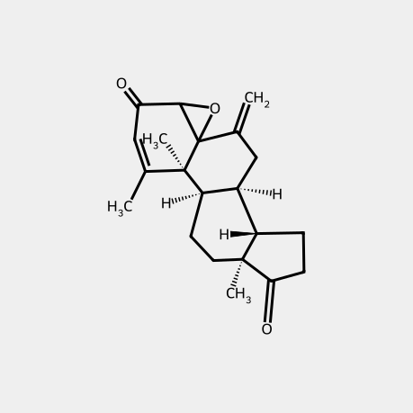 C=C1C[C@@H]2[C@@H](CC[C@]3(C)C(=O)CC[C@@H]23)[C@@]2(C)C(C)=CC(=O)C3OC132